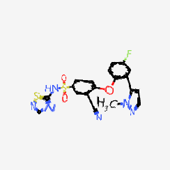 Cn1nccc1-c1cc(F)ccc1Oc1ccc(S(=O)(=O)Nc2ncns2)cc1C#N